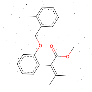 COC(=O)C(=C(C)C)c1ccccc1OCc1ccccc1C